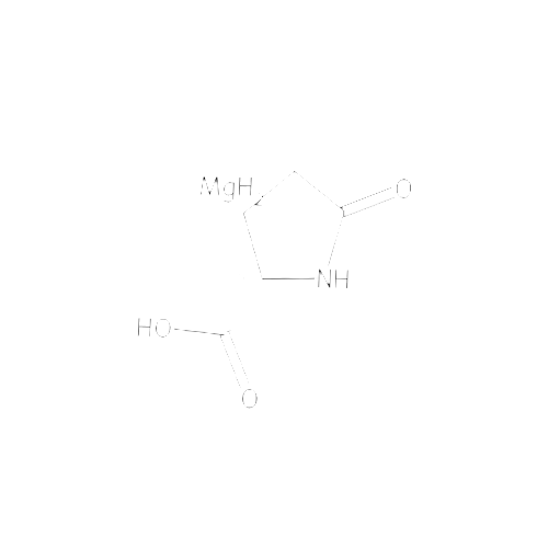 O=C1CC[C@@H](C(=O)O)N1.[MgH2]